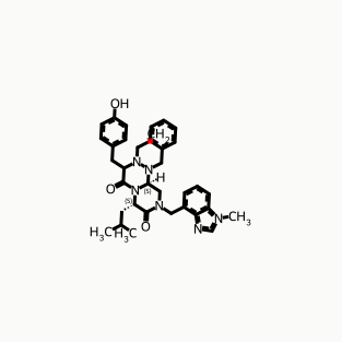 C=CCN1C(Cc2ccc(O)cc2)C(=O)N2[C@@H](CC(C)C)C(=O)N(Cc3cccc4c3ncn4C)C[C@@H]2N1Cc1ccccc1